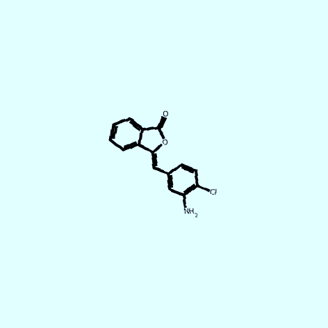 Nc1cc(/C=C2\OC(=O)c3ccccc32)ccc1Cl